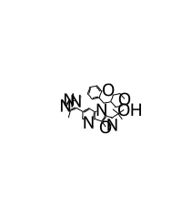 COc1ccccc1C(C1CCOCC1)n1c2cc(-c3c(C)nnn3C)cnc2c2onc(C(C)(C)O)c21